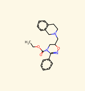 CCOC(=O)N1CC(CN2CCc3ccccc3C2)ON=C1c1ccccc1